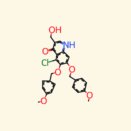 COc1ccc(COc2cc3[nH]cc(CO)c(=O)c3c(Cl)c2OCc2ccc(OC)cc2)cc1